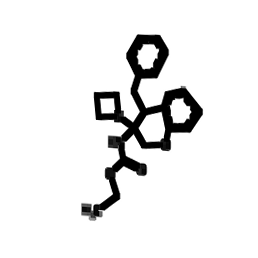 CCOC(=O)NC1(N2CCC2)COc2cc[c]cc2C1Cc1ccccc1